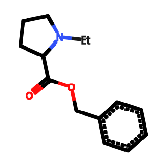 CCN1CCCC1C(=O)OCc1ccccc1